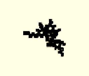 CCOc1cc2[nH]cc(C(=O)[C@H](Nc3cc(OC)cc(OCCO)c3)c3ccc(F)cc3OC)c2cc1C